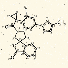 Cc1ccn(-c2ccc(C3(C(=O)N4CCC5(C4)OC(=O)c4cnccc45)CC3)c(F)c2)n1